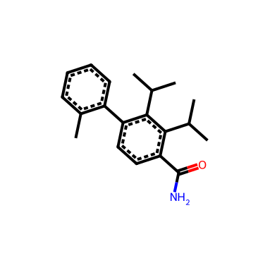 Cc1ccccc1-c1ccc(C(N)=O)c(C(C)C)c1C(C)C